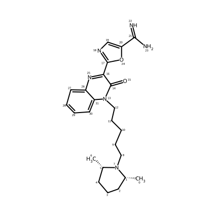 C[C@@H]1CCC[C@H](C)N1CCCCCn1c(=O)c(-c2ncc(C(=N)N)o2)nc2ccccc21